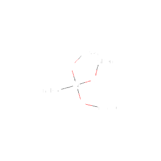 CCCCCC[Si](OCCCCC)(OCCCCC)OCCCCC